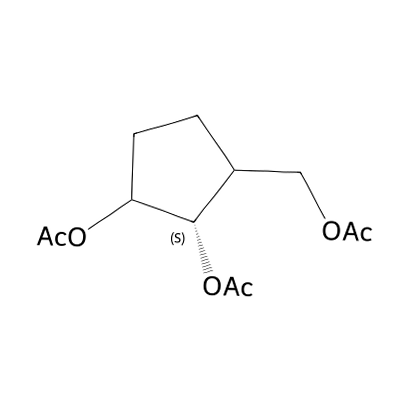 CC(=O)OCC1CCC(OC(C)=O)[C@H]1OC(C)=O